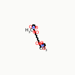 CC(COC(=O)CCCCCCC(=O)OCC(C)N1C(=O)C=CC1=O)N1C(=O)C=CC1=O